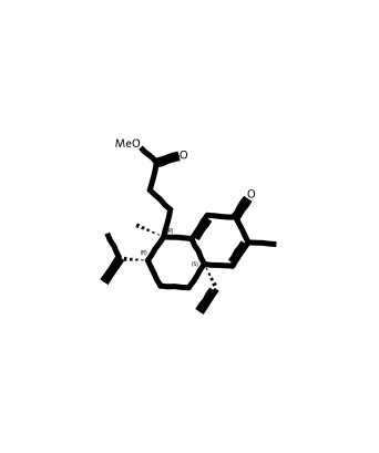 C=C[C@@]12C=C(C)C(=O)C=C1[C@](C)(CCC(=O)OC)[C@@H](C(=C)C)CC2